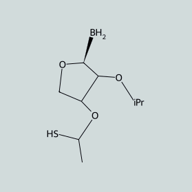 B[C@@H]1OCC(OC(C)S)C1OC(C)C